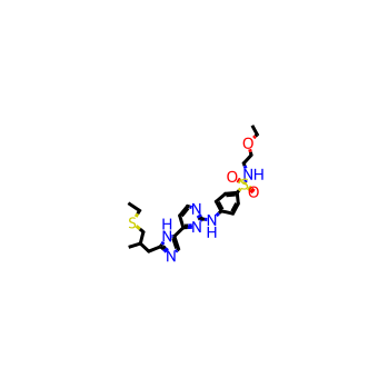 CCOCCNS(=O)(=O)c1ccc(Nc2nccc(-c3cnc(CC(C)CSCC)[nH]3)n2)cc1